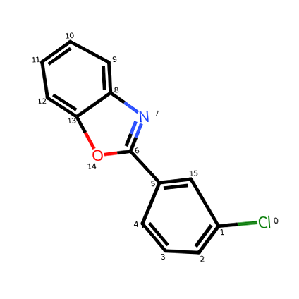 Clc1cc[c]c(-c2nc3ccccc3o2)c1